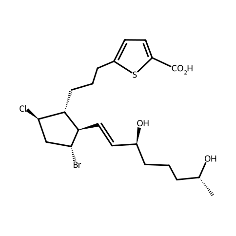 C[C@@H](O)CCC[C@H](O)/C=C/[C@@H]1[C@@H](CCCc2ccc(C(=O)O)s2)[C@H](Cl)C[C@H]1Br